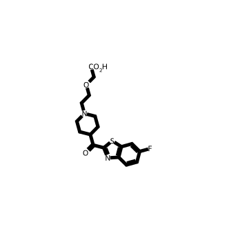 O=C(O)COCCN1CCC(C(=O)c2nc3ccc(F)cc3s2)CC1